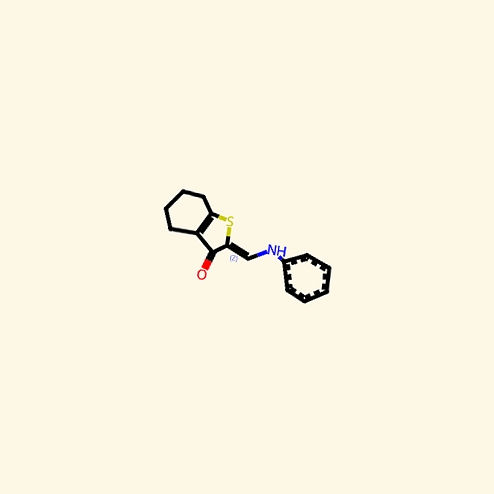 O=C1C2=C(CCCC2)S/C1=C\Nc1ccccc1